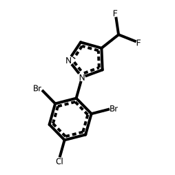 FC(F)c1cnn(-c2c(Br)cc(Cl)cc2Br)c1